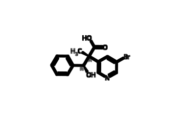 C[C@@](C(=O)O)(c1cncc(Br)c1)[C@@H](O)c1ccccc1